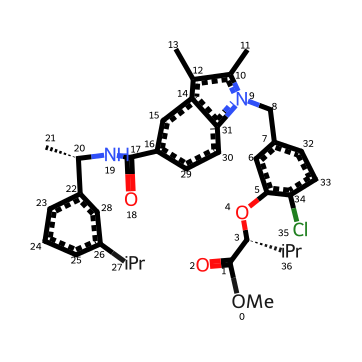 COC(=O)[C@H](Oc1cc(Cn2c(C)c(C)c3cc(C(=O)N[C@@H](C)c4cccc(C(C)C)c4)ccc32)ccc1Cl)C(C)C